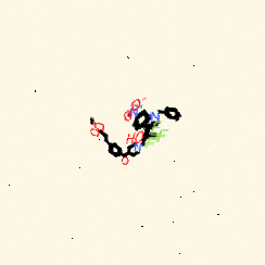 CCOC(=O)CCc1ccc(C(=O)C2CCN(CC(O)(c3cn(Cc4ccccc4)c4cc([N+](=O)[O-])ccc34)C(F)(F)F)CC2)cc1